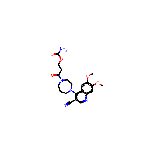 COc1cc2ncc(C#N)c(N3CCCN(C(=O)CCOC(N)=O)CC3)c2cc1OC